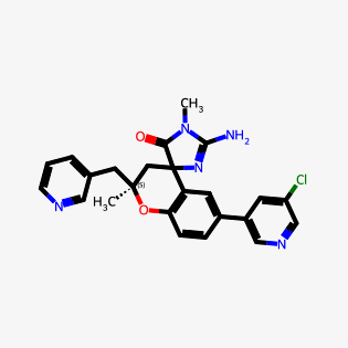 CN1C(=O)C2(C[C@](C)(Cc3cccnc3)Oc3ccc(-c4cncc(Cl)c4)cc32)N=C1N